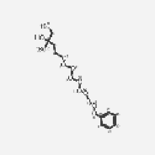 CC(C)(C)CC(O)(CCOOOOOOOOOOc1ccccc1)C(C)(C)C